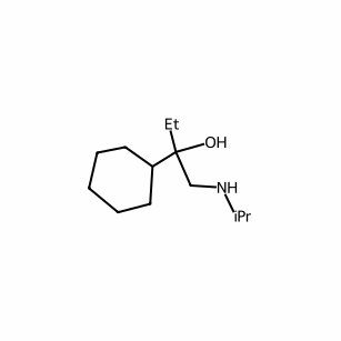 CCC(O)(CNC(C)C)C1CCCCC1